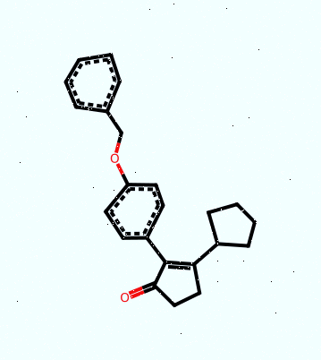 O=C1CCC(C2CCCC2)=C1c1ccc(OCc2ccccc2)cc1